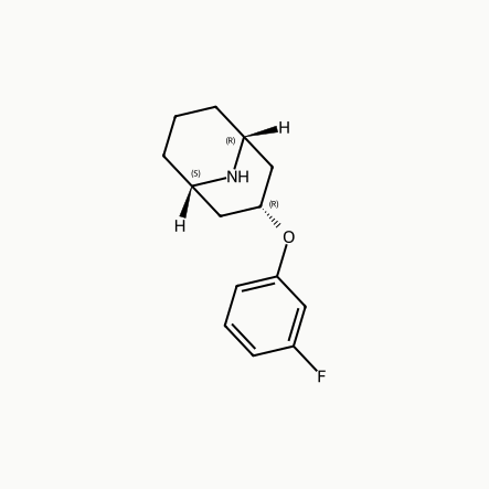 Fc1cccc(O[C@H]2C[C@H]3CCC[C@@H](C2)N3)c1